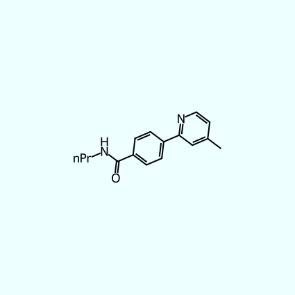 CCCNC(=O)c1ccc(-c2cc(C)ccn2)cc1